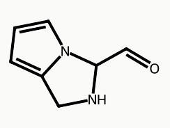 O=CC1NCc2cccn21